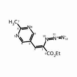 CCOC(=O)/C(=C/c1cnc(C)nc1)N=[N+]=[N-]